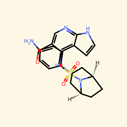 NC(=O)c1cnc2[nH]ccc2c1N[C@@H]1C[C@H]2CC[C@@H](C1)N2S(=O)(=O)c1ccccc1